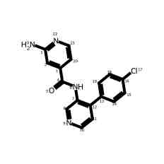 Nc1cc(C(=O)Nc2cnccc2-c2ccc(Cl)cc2)ccn1